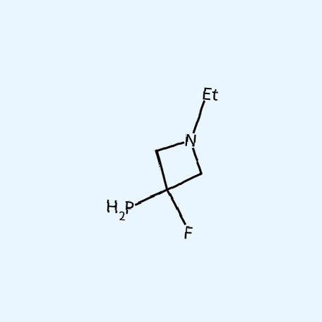 CCN1CC(F)(P)C1